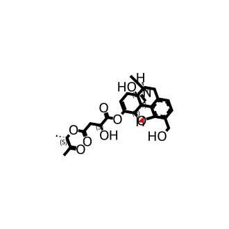 CC(=O)[C@H](C)OC(=O)C[C@H](O)C(=O)OC1=CC[C@@]2(O)[C@H]3Cc4ccc(CO)c5c4[C@@]2(CCN3C)[C@H]1O5